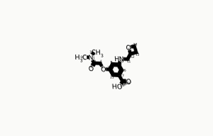 CN(C)C(=O)COc1cc(NCC2CCO2)cc(C(=O)O)c1